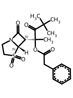 CC(C)(C)C(=O)C(C)(OC(=O)Cc1ccccc1)[C@H]1C(=O)N2CCS(=O)(=O)[C@@H]12